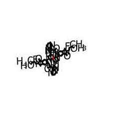 C[C@H](O)[C@@H](F)CN1Cc2cc(NC(=O)c3c(C4CN(c5cc6c(cc5NC(=O)c5cnn7cccnc57)CN(C[C@@H](F)[C@@H](C)O)C6=O)CCO4)nn4cccnc34)c(N3CCOCC3)cc2C1=O